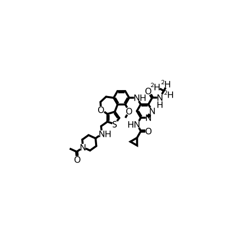 [2H]C([2H])([2H])NC(=O)c1nnc(NC(=O)C2CC2)cc1Nc1ccc2c(c1OC)-c1csc(CNC3CCN(C(C)=O)CC3)c1OCC2